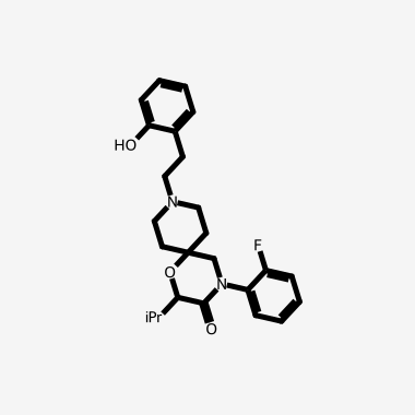 CC(C)C1OC2(CCN(CCc3ccccc3O)CC2)CN(c2ccccc2F)C1=O